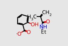 C=C(C)C(=O)NCC.[O]C(=O)c1ccccc1O